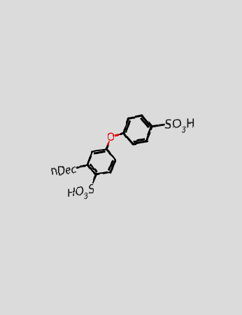 CCCCCCCCCCc1cc(Oc2ccc(S(=O)(=O)O)cc2)ccc1S(=O)(=O)O